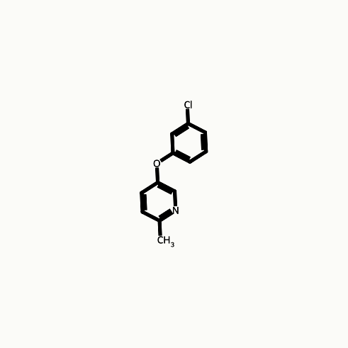 Cc1ccc(Oc2cccc(Cl)c2)cn1